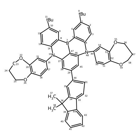 CC(C)(C)c1ccc2c(c1)B1c3cc(C(C)(C)C)ccc3N(c3ccc4c(c3)OCCCO4)c3cc(-c4ccc5c(c4)C(C)(C)c4ccccc4-5)cc(c31)N2c1ccc2c(c1)OCCCO2